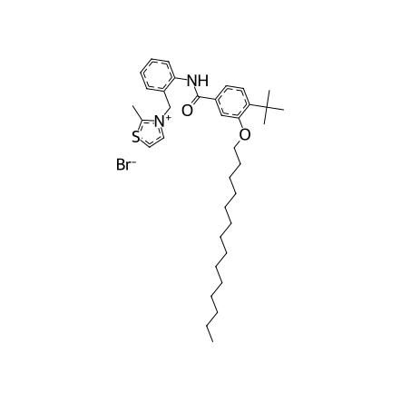 CCCCCCCCCCCCCCOc1cc(C(=O)Nc2ccccc2C[n+]2ccsc2C)ccc1C(C)(C)C.[Br-]